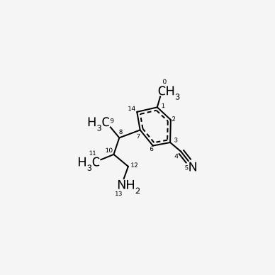 Cc1cc(C#N)cc(C(C)C(C)CN)c1